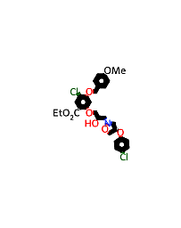 CCOC(=O)c1cc(Cl)c(OCc2ccc(OC)cc2)cc1OC[C@@H](O)CN1C[C@@H](Oc2ccc(Cl)cc2)CO1